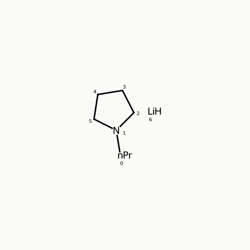 [CH2]CCN1CCCC1.[LiH]